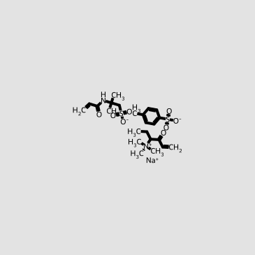 C=CC(=O)C(CC)[N+](C)(C)C.C=CC(=O)NC(C)(C)CS(=O)(=O)[O-].Cc1ccc(S(=O)(=O)[O-])cc1.[Na+]